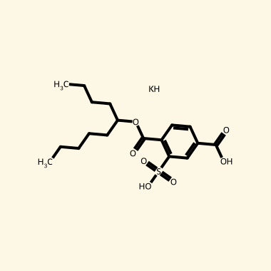 CCCCCC(CCCC)OC(=O)c1ccc(C(=O)O)cc1S(=O)(=O)O.[KH]